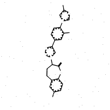 Cc1cn(-c2ccc(-c3cn(C4CCc5cc(F)ccc5NC4=O)nn3)cc2F)cn1